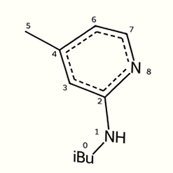 CCC(C)Nc1cc(C)ccn1